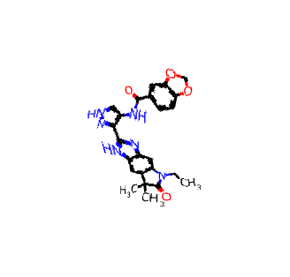 CCN1C(=O)C(C)(C)c2cc3[nH]c(-c4n[nH]cc4NC(=O)c4ccc5c(c4)OCO5)nc3cc21